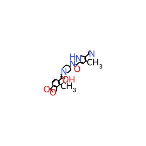 Cc1cc(C(=O)NC2CCN(C[C@H](O)c3ccc4c(c3C)COC4=O)CC2)ncc1C1C=N1